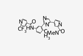 CNC(=O)c1cc(-c2cncc(-c3cc(NC(=O)c4ccnc(C(F)(F)F)c4)ccc3C)n2)ccn1